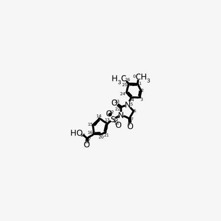 Cc1ccc(N2CC(=O)N(S(=O)(=O)c3ccc(C(=O)O)cc3)C2=O)cc1C